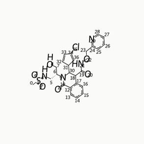 CS(=O)(=O)NC[C@H](CO)N1C(=O)c2ccccc2C(C(=O)NOCc2ccccn2)C1C1C=CC(Cl)=C1